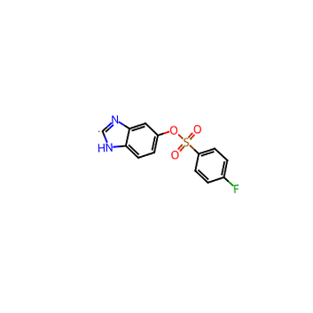 O=S(=O)(Oc1ccc2[nH][c]nc2c1)c1ccc(F)cc1